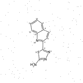 Nc1nnc(-c2ccc3ccccc3n2)s1